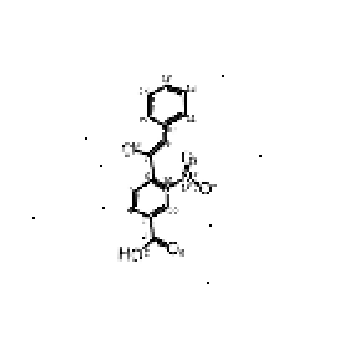 O=C(O)c1ccc(C(Cl)=Cc2ccccc2)c([N+](=O)[O-])c1